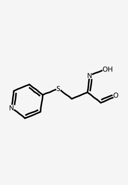 O=CC(CSc1ccncc1)=NO